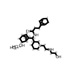 CCC(CCC1CC2CCC1C2)NC(C1CCCN(CCNCCO)C1)C1CC2CCC1C2.Cl.Cl.Cl